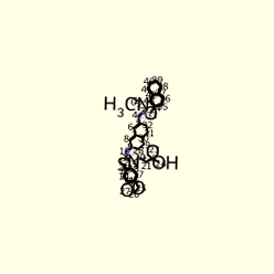 CCN1/C(=C/C2=CC3=C/C(=C/c4sc5cc6c(cc5[n+]4CCC(=O)O)OCO6)CCC3CC2)Oc2ccc3ccccc3c21